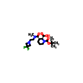 CN(CCN1CC(F)(F)C1)C(=O)[C@H]1CCCN(C(=O)OC(C)(C)C)[C@H]1C(=O)O